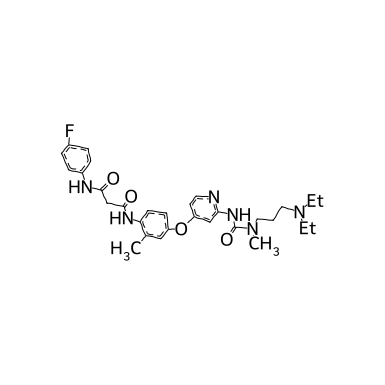 CCN(CC)CCCN(C)C(=O)Nc1cc(Oc2ccc(NC(=O)CC(=O)Nc3ccc(F)cc3)c(C)c2)ccn1